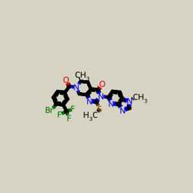 CSc1nc2c(c(=O)n1-c1ccc3c(ncn3C)n1)C[C@@H](C)N(C(=O)c1ccc(Br)c(C(F)(F)F)c1)C2